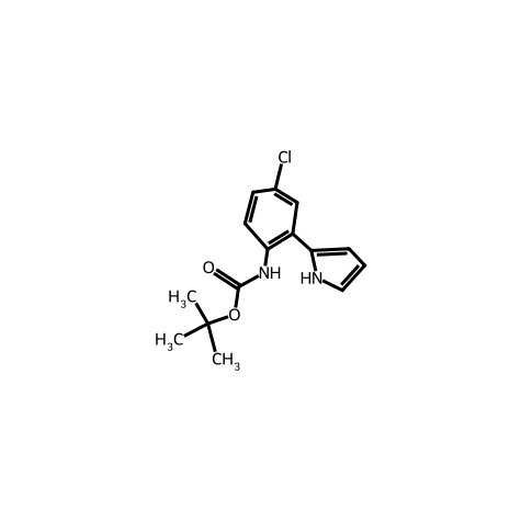 CC(C)(C)OC(=O)Nc1ccc(Cl)cc1-c1ccc[nH]1